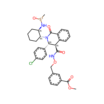 COC(=O)c1cccc(CONC(=O)[C@@H]2c3ccccc3C(=O)N([C@@H]3CCCC[C@H]3N[S+](C)[O-])[C@H]2c2ccc(Cl)cc2)c1